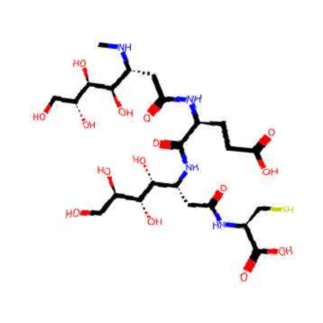 CN[C@H](CC(=O)N[C@@H](CCC(=O)O)C(=O)N[C@H](CC(=O)N[C@@H](CS)C(=O)O)[C@@H](O)[C@H](O)[C@H](O)CO)[C@@H](O)[C@H](O)[C@H](O)CO